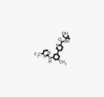 Cc1cc(Nc2nccc(C(F)(F)F)n2)cc(-c2ccc(C(=O)NC3(CO)CC3)nc2)c1